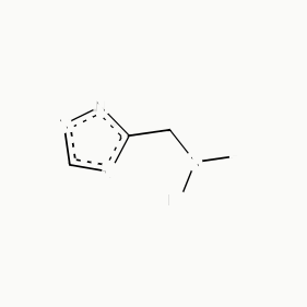 CCN(CC)Cc1nn[c]o1